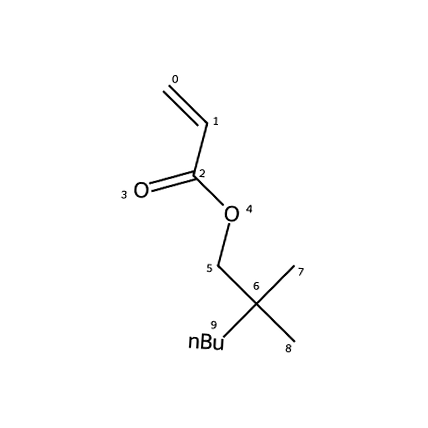 C=CC(=O)OCC(C)(C)CCCC